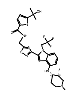 C[C@@H]1CN(C)CC[C@@H]1Nc1cccc2c1cc(-c1noc(CNC(=O)c3ccc(C(C)(C)O)s3)n1)n2CC(F)(F)F